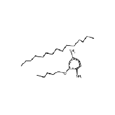 CCCCCCCCCCCCCCC.CCCCCOc1cc(N)ccc1N